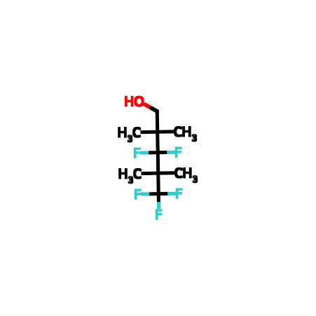 CC(C)(CO)C(F)(F)C(C)(C)C(F)(F)F